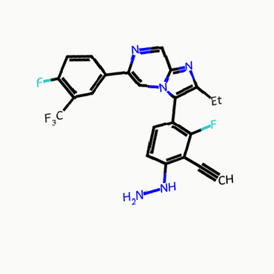 C#Cc1c(NN)ccc(-c2c(CC)nc3cnc(-c4ccc(F)c(C(F)(F)F)c4)cn23)c1F